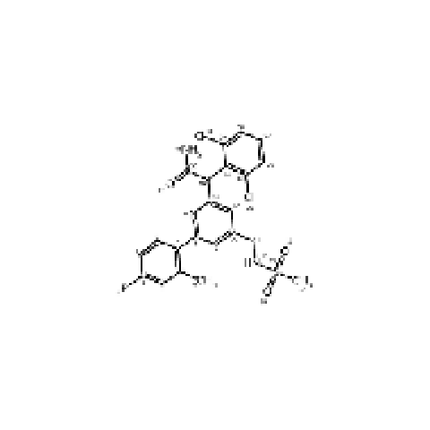 Cc1cc(F)ccc1-c1cc(CNS(C)(=O)=O)cc(C(C(N)=O)c2c(Cl)cccc2Cl)n1